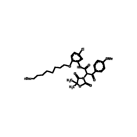 CCCCCCCCCCCCCCCCCCOc1ccc(Cl)cc1NC(=O)C(C(=O)c1ccc(OC)cc1)N1C(=O)OC(C)(C)C1=O